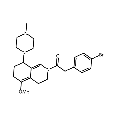 COC1=C2CCN(C(=O)Cc3ccc(Br)cc3)C=C2C(N2CCN(C)CC2)CC1